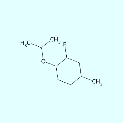 CC1CCC(OC(C)C)C(F)C1